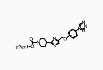 CCCCCOC(=O)N1CCC(c2nc(COc3ccc(-n4cnnn4)cc3)cs2)CC1